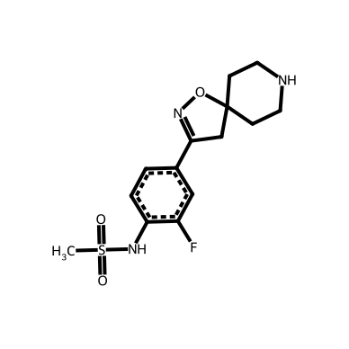 CS(=O)(=O)Nc1ccc(C2=NOC3(CCNCC3)C2)cc1F